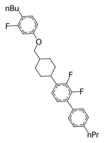 CCCCc1ccc(OCC2CCC(c3ccc(-c4ccc(CCC)cc4)c(F)c3F)CC2)cc1F